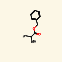 CCCCC(CCC)C(=O)OCc1ccccc1